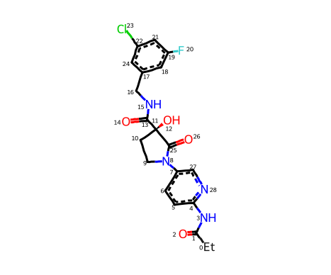 CCC(=O)Nc1ccc(N2CC[C@](O)(C(=O)NCc3cc(F)cc(Cl)c3)C2=O)cn1